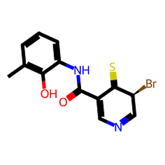 Cc1cccc(NC(=O)C2=CN=C[C@H](Br)C2=S)c1O